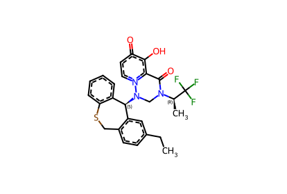 CCc1ccc2c(c1)[C@H](N1CN([C@H](C)C(F)(F)F)C(=O)c3c(O)c(=O)ccn31)c1ccccc1SC2